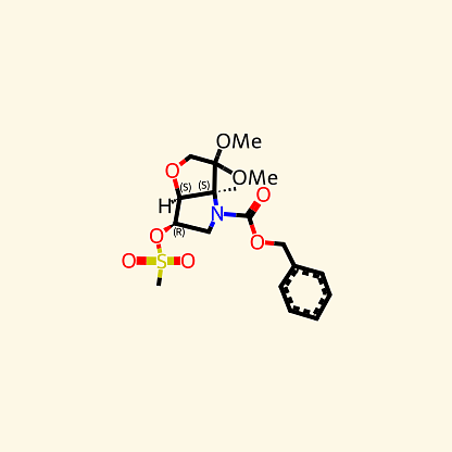 COC1(OC)CO[C@@H]2[C@H](OS(C)(=O)=O)CN(C(=O)OCc3ccccc3)[C@@]21C